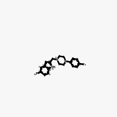 Fc1ccc(N2CCN(Cc3cc4cc(F)ccc4[nH]3)CC2)cc1